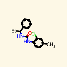 CCC(NC(=O)Nc1ccc(C)cc1Cl)c1ccccc1